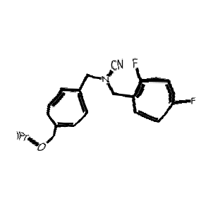 CC(C)Oc1ccc(CN(C#N)Cc2ccc(F)cc2F)cc1